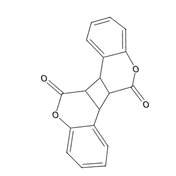 O=C1Oc2ccccc2C2C1C1c3ccccc3OC(=O)C21